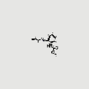 C=CC/N=C/c1ccccc1NC(=O)OC